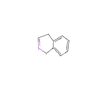 [CH]1I=CCc2ccccc21